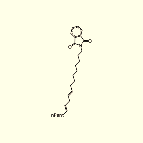 CCCCC/C=C/C/C=C/CCCCCCCCN1C(=O)c2ccccc2C1=O